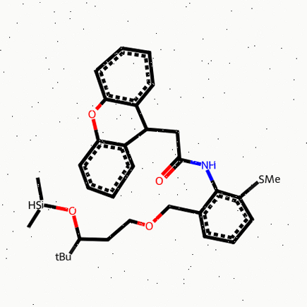 CSc1cccc(COCCC(O[SiH](C)C)C(C)(C)C)c1NC(=O)CC1c2ccccc2Oc2ccccc21